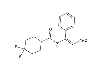 O=C/C=C(/NC(=O)C1CCC(F)(F)CC1)c1ccccc1